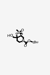 CC(C)(C)OC(=O)N1CCC(CO)(SS(C)(=O)=O)CC1